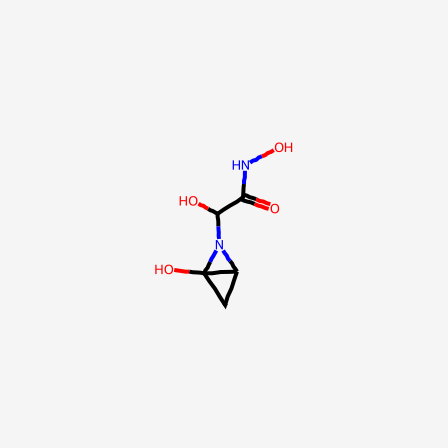 O=C(NO)C(O)N1C2CC21O